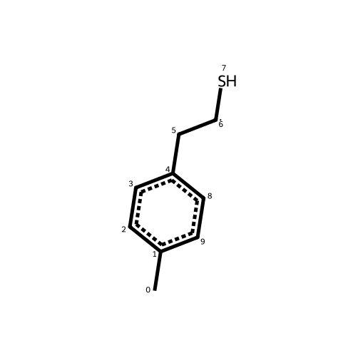 Cc1ccc(C[CH]S)cc1